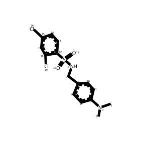 CN(C)c1ccc(CNS(=O)(=O)c2ccc(Cl)cc2Cl)cc1